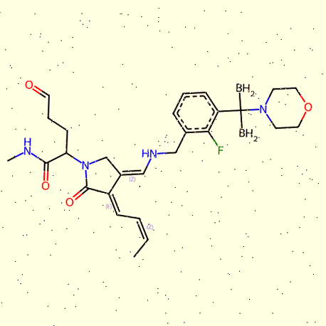 BC(B)(c1cccc(CN\C=C2/CN(C(CCC=O)C(=O)NC)C(=O)/C2=C/C=C\C)c1F)N1CCOCC1